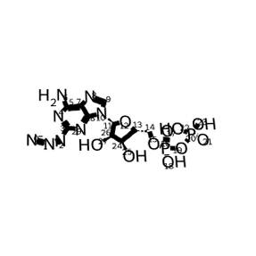 [N-]=[N+]=Nc1nc(N)c2ncn([C@@H]3O[C@H](COP(=O)(O)OP(=O)(O)O)[C@@H](O)[C@H]3O)c2n1